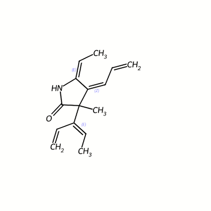 C=C/C=C1\C(=C/C)NC(=O)C1(C)/C(C=C)=C/C